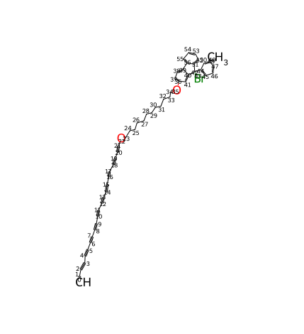 C#CC#CC#CC#CC#CC#CC#CC#CC#CC#CC#COCCCCCCCCCCCCOc1ccc2c(c1)C(Br)(c1cccc(C)c1)c1ccccc1-2